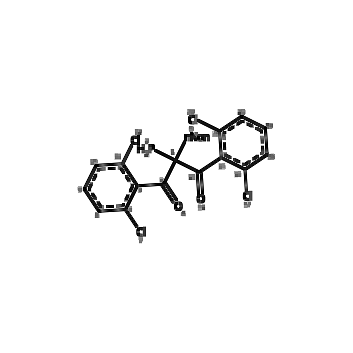 CCCCCCCCCC(P)(C(=O)c1c(Cl)cccc1Cl)C(=O)c1c(Cl)cccc1Cl